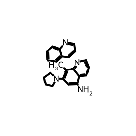 Cc1c(N2CCCC2)cc(N)c2cccnc12.c1ccc2ncccc2c1